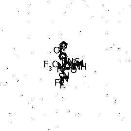 N#CC1(NS(=O)(=O)c2cc(N3CCC(C(=O)N4CCCC4)CC3)c3c(c2)c(-c2nnc(C(F)F)s2)nn3CC(F)(F)F)CC1